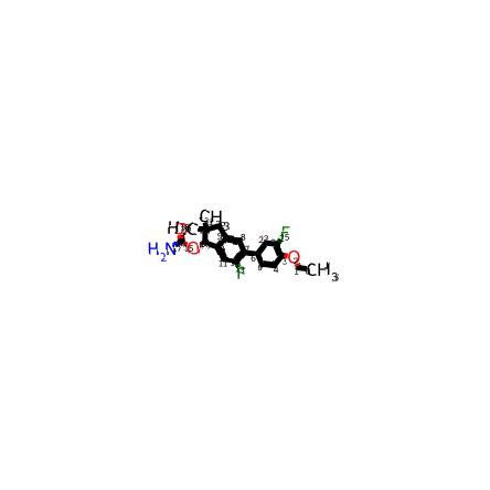 CCOc1ccc(-c2cc3c(cc2F)[C@H](OC(N)=O)C(C)(C)C3)cc1F